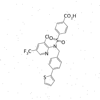 O=C(O)c1ccc(S(=O)(=O)N(Cc2ccc(-c3cccs3)cc2)c2ncc(C(F)(F)F)cc2Cl)cc1